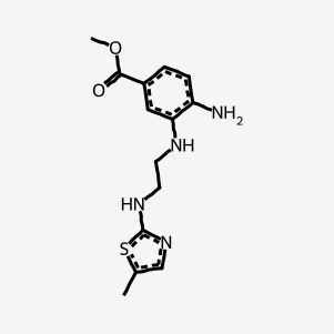 COC(=O)c1ccc(N)c(NCCNc2ncc(C)s2)c1